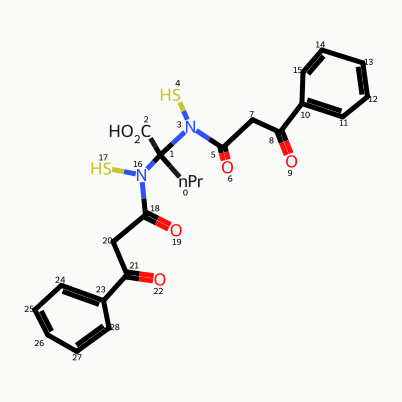 CCCC(C(=O)O)(N(S)C(=O)CC(=O)c1ccccc1)N(S)C(=O)CC(=O)c1ccccc1